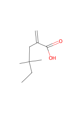 C=C(CC(C)(C)CC)C(=O)O